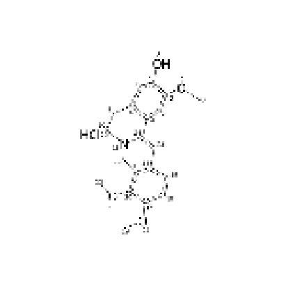 COc1cc2c(cc1O)CCN1Cc3c(ccc(OC)c3OC)C=C21.Cl